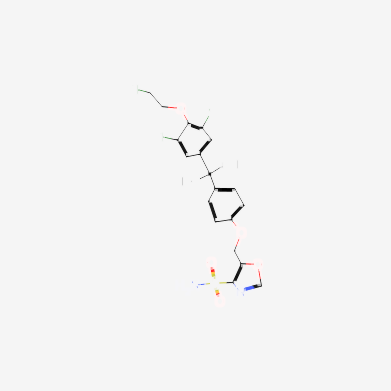 CC(C)(c1ccc(OCc2ocnc2S(N)(=O)=O)cc1)c1cc(Cl)c(OCCCl)c(Cl)c1